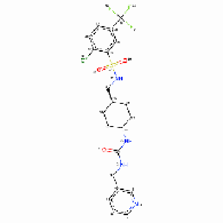 O=C(NCc1cccnc1)N[C@H]1CC[C@H](CNS(=O)(=O)c2cc(C(F)(F)F)ccc2Cl)CC1